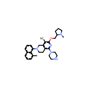 Cc1cccc2cccc(N3CCc4c(N5CCNCC5)nc(OCC5CCCN5C)c(C#N)c4C3)c12